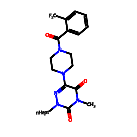 CCCCCCCn1nc(N2CCN(C(=O)c3ccccc3C(F)(F)F)CC2)c(=O)n(C)c1=O